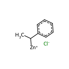 C[CH]([Zn+])c1ccccc1.[Cl-]